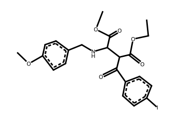 CCOC(=O)C(C(=O)c1ccc(I)cc1)C(NCc1ccc(OC)cc1)C(=O)OC